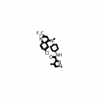 Cc1cn(C)nc1C(=O)N[C@H]1CC[C@@H](N(C)c2cc(C(F)(F)F)nc3ccc(Cl)cc23)CC1